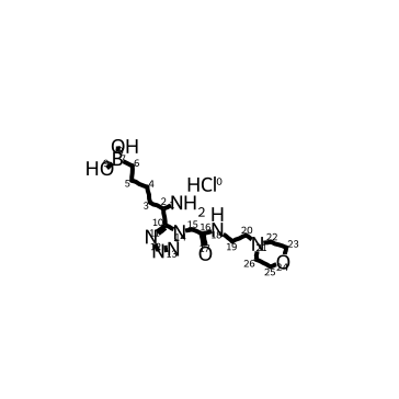 Cl.NC(CCCCB(O)O)c1nnnn1CC(=O)NCCN1CCOCC1